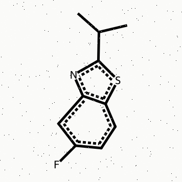 CC(C)c1nc2cc(F)ccc2s1